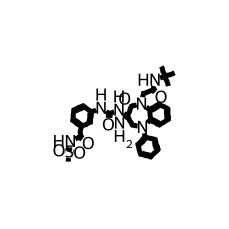 CC(C)(C)NC(=O)CN1C(=O)C(N)(NC(=O)Nc2cccc(C(=O)NS(C)(=O)=O)c2)CN(c2ccccc2)c2ccccc21